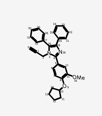 C#CCn1c(-c2ccc(OC3CCCC3)c(OC)c2)nc(-c2ccccc2)c1-c1ccccc1